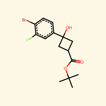 CC(C)(C)OC(=O)C1CC(O)(c2ccc(Br)c(F)c2)C1